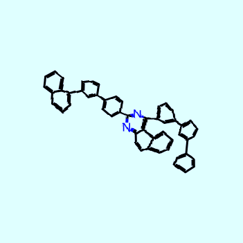 c1ccc(-c2cccc(-c3cccc(-c4nc(-c5ccc(-c6cccc(-c7cccc8ccccc78)c6)cc5)nc5ccc6ccccc6c45)c3)c2)cc1